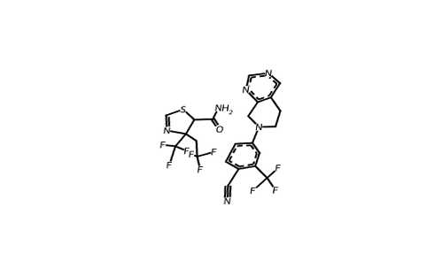 N#Cc1ccc(N2CCc3cncnc3C2)cc1C(F)(F)F.NC(=O)C1SC=NC1(CC(F)(F)F)C(F)(F)F